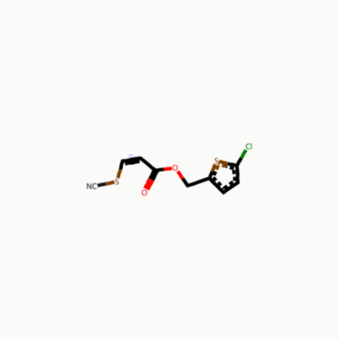 N#CS/C=C\C(=O)OCc1ccc(Cl)s1